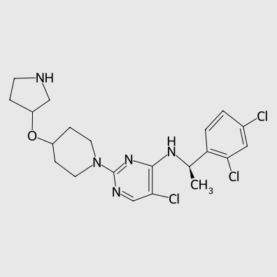 C[C@@H](Nc1nc(N2CCC(OC3CCNC3)CC2)ncc1Cl)c1ccc(Cl)cc1Cl